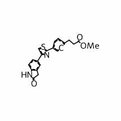 COC(=O)CCc1ccc(-c2nc(-c3ccc4c(c3)CC(=O)N4)cs2)cc1